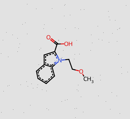 COCCn1c(C(=O)O)cc2ccccc21